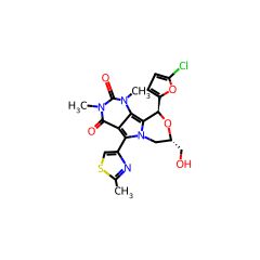 Cc1nc(-c2c3c(=O)n(C)c(=O)n(C)c3c3n2C[C@@H](CO)O[C@@H]3c2ccc(Cl)o2)cs1